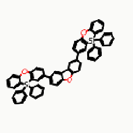 c1ccc([Si]2(c3ccccc3)c3ccccc3Oc3ccc(-c4ccc5oc6ccc(-c7ccc8c(c7)[Si](c7ccccc7)(c7ccccc7)c7ccccc7O8)cc6c5c4)cc32)cc1